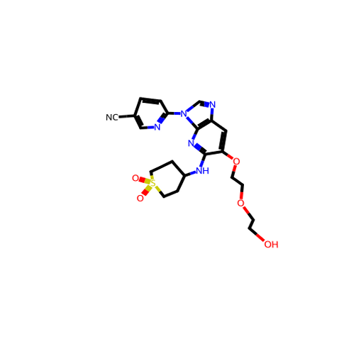 N#Cc1ccc(-n2cnc3cc(OCCOCCO)c(NC4CCS(=O)(=O)CC4)nc32)nc1